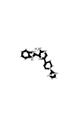 Nc1ncc(C2=CCN(c3nccs3)CC2)nc1-c1nc2ccccc2[nH]1